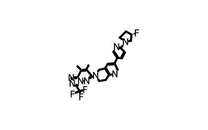 Cc1c(N2CCc3ncc(-c4ccc(N5CC[C@H](F)C5)nc4)cc3C2)nn2c(C(F)(F)F)nnc2c1C